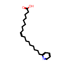 O=C(O)CCCCCCC/C=C\CCCCCCCCc1ccccn1